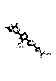 COCOc1cc(-c2cn3cc(C)nc3c(C)n2)ccc1-c1ccc(C2CN(C(=O)OC(C)(C)C)C2)nn1